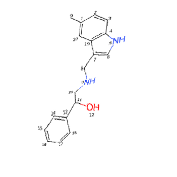 Cc1ccc2[nH]cc(CNCC(O)c3ccccc3)c2c1